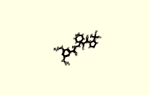 COc1cc(OC)cc(C(=O)NCC2(C(F)C(=O)N3CCCC3C(F)(F)F)CCNCC2)c1